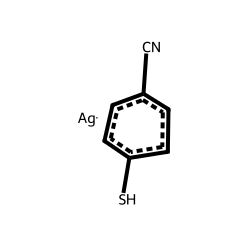 N#Cc1ccc(S)cc1.[Ag]